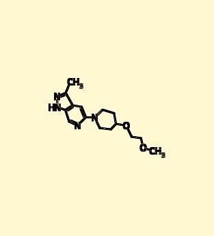 COCCOC1CCN(c2cc3c(C)n[nH]c3cn2)CC1